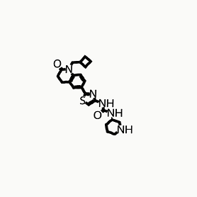 O=C(Nc1csc(-c2ccc3c(c2)CCC(=O)N3CC2CCC2)n1)N[C@H]1CCCNC1